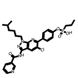 CCCP(=O)(O)Oc1ccc(-c2nc3c(cc2Cl)c(NC(=O)c2cccnc2)nn3CCCCC(C)C)cc1